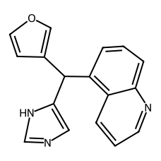 c1cc(C(c2ccoc2)c2cnc[nH]2)c2cccnc2c1